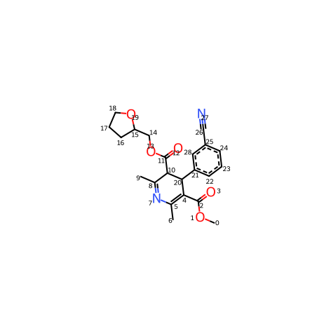 COC(=O)C1=C(C)N=C(C)C(C(=O)OCC2CCCO2)C1c1cccc(C#N)c1